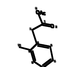 CC(=O)OC(=O)Cc1ccccc1C